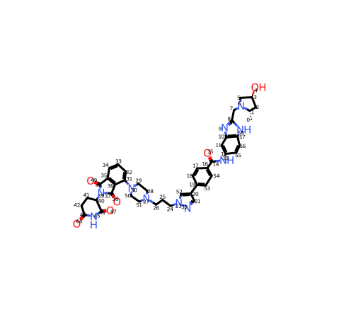 C[C@H]1C[C@H](O)CN1Cc1nc2cc(NC(=O)c3ccc(-c4cnn(CCCN5CCN(c6cccc7c6C(=O)N(C6CCC(=O)NC6=O)C7=O)CC5)c4)cc3)ccc2[nH]1